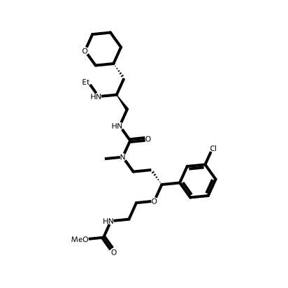 CCN[C@H](CNC(=O)N(C)CC[C@@H](OCCNC(=O)OC)c1cccc(Cl)c1)C[C@H]1CCCOC1